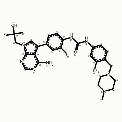 CN1CCN(Cc2ccc(NC(=O)Nc3ccc(-c4cn(CC(C)(C)O)c5ncnc(N)c45)cc3F)cc2C(F)(F)F)CC1